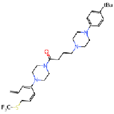 C=C/C=C(\C=C/CSC(F)(F)F)N1CCN(C(=O)CCCN2CCN(c3ccc(C(C)(C)C)cc3)CC2)CC1